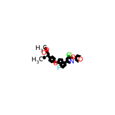 CC#C[C@@H](CC(=O)OC)c1ccc(O[C@@H]2CCc3c(-c4cnc(OC5CCOCC5)c(Cl)c4)ccc(F)c32)cc1